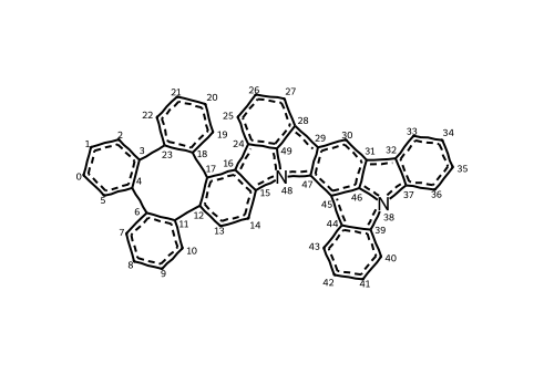 c1ccc2c(c1)-c1ccccc1-c1ccc3c(c1-c1ccccc1-2)c1cccc2c4cc5c6ccccc6n6c7ccccc7c(c56)c4n3c21